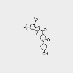 Cn1c(C(=O)N2CCN([C@H]3CC[C@H](O)CC3)C(=O)C2)nc2c(C3CC3)cc(C(C)(C)C)cc21